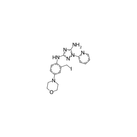 Nc1nc(Nc2ccc(N3CCOCC3)cc2CI)nn1-c1ccccn1